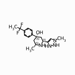 C[C@H]1C[C@@](O)(c2ccc(C(C)(F)F)cc2)C[C@@H](C2=CN(C)NN2)N1